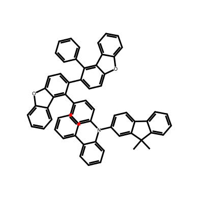 CC1(C)c2ccccc2-c2ccc(N(c3ccc(-c4c(-c5ccc6oc7ccccc7c6c5-c5ccccc5)ccc5oc6ccccc6c45)cc3)c3ccccc3-c3ccccc3)cc21